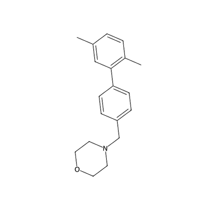 Cc1ccc(C)c(-c2ccc(CN3CCOCC3)cc2)c1